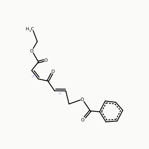 CCOC(=O)/C=C\C(=O)/C=C/COC(=O)c1ccccc1